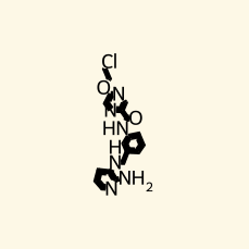 Nc1ncccc1NCc1cccc(NC(=O)c2cnc(OCCCl)cn2)c1